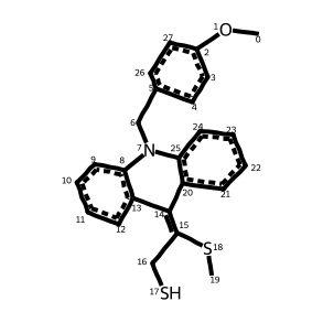 COc1ccc(CN2c3ccccc3C(=C(CS)SC)c3ccccc32)cc1